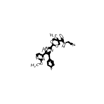 COc1nccc(-c2[nH]c(C3OCC(C)(C(=O)NCC#N)CO3)nc2-c2ccc(F)cc2)n1